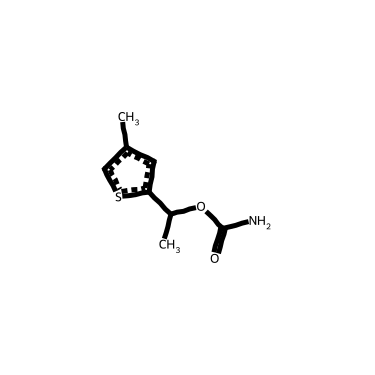 Cc1csc(C(C)OC(N)=O)c1